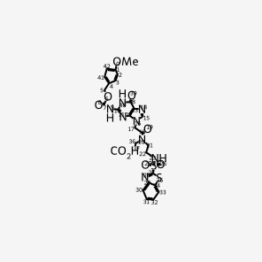 COc1ccc(COC(=O)Nc2nc3c(ncn3CC(=O)N(CCNS(=O)(=O)c3nc4ccccc4s3)CC(=O)O)c(=O)[nH]2)cc1